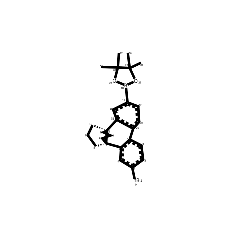 CCCCc1ccc2c(c1)[C@]13CCC[C@]1(CCC3)c1cc(B3OC(C)(C)C(C)(C)O3)ccc1-2